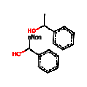 CC(O)c1ccccc1.CCCCCCCCCC(O)c1ccccc1